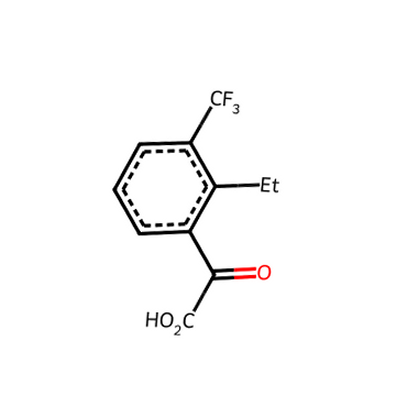 CCc1c(C(=O)C(=O)O)cccc1C(F)(F)F